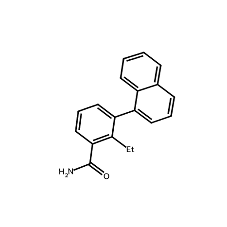 CCc1c(C(N)=O)cccc1-c1cccc2ccccc12